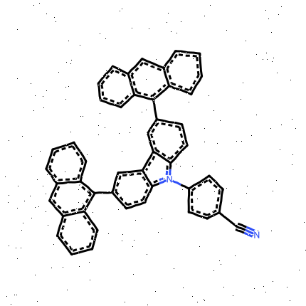 N#Cc1ccc(-n2c3ccc(-c4c5ccccc5cc5ccccc45)cc3c3cc(-c4c5ccccc5cc5ccccc45)ccc32)cc1